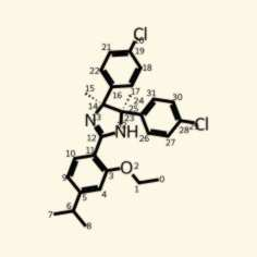 CCOc1cc(C(C)C)ccc1C1=N[C@@](C)(c2ccc(Cl)cc2)[C@@](C)(c2ccc(Cl)cc2)N1